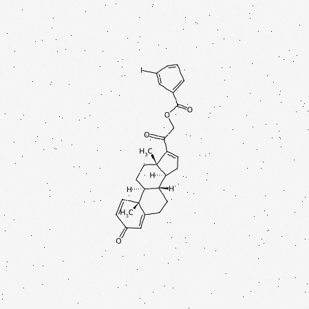 C[C@]12C=CC(=O)C=C1CC[C@@H]1[C@@H]2CC[C@]2(C)C(C(=O)COC(=O)c3cccc(I)c3)=CC[C@@H]12